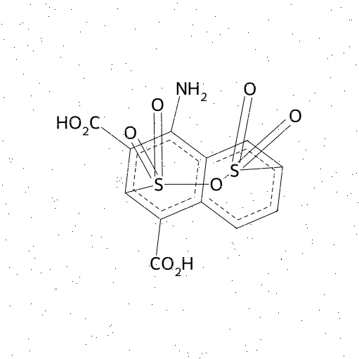 Nc1c(C(=O)O)c2c(C(=O)O)c3ccc(cc13)S(=O)(=O)OS2(=O)=O